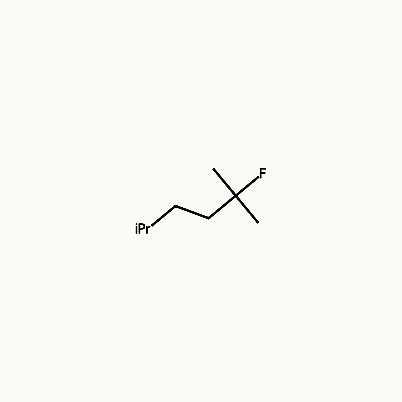 CC(C)CCC(C)(C)F